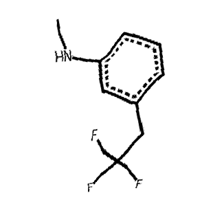 CNc1cccc(CC(F)(F)F)c1